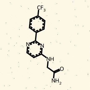 NC(=O)CNc1ccnc(-c2ccc(C(F)(F)F)cc2)n1